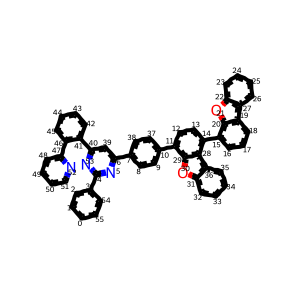 c1ccc(-c2nc(-c3ccc(-c4ccc(-c5cccc6c5oc5ccccc56)c5c4oc4ccccc45)cc3)cc(-c3ccccc3-c3ccccn3)n2)cc1